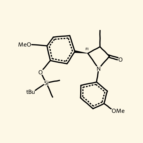 COc1cccc(N2C(=O)C(C)[C@@H]2c2ccc(OC)c(O[Si](C)(C)C(C)(C)C)c2)c1